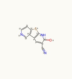 N#Cc1cc2c([nH]c1=O)sc1ccncc12